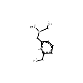 CC(C)(C)CN(Cc1cccc(CO)n1)C(=O)O